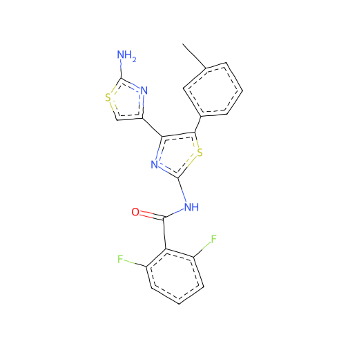 Cc1cccc(-c2sc(NC(=O)c3c(F)cccc3F)nc2-c2csc(N)n2)c1